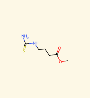 COC(=O)CCCNC(N)=S